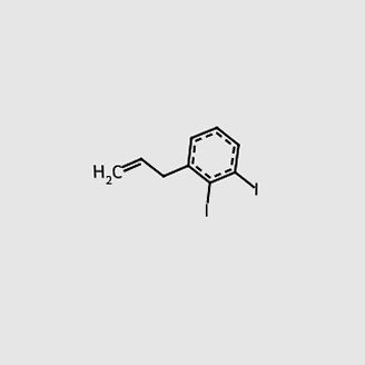 C=CCc1cccc(I)c1I